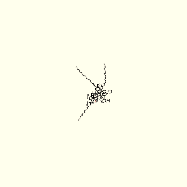 CCCCCCCCCCCCCC(=O)OC(CCCCCCCCCCCC)C(=O)N[C@H]1[C@H](OCc2ccccc2)O[C@H](CO)[C@@H](O)[C@@]1(O)C(=O)CCCCCCCCCCCCC